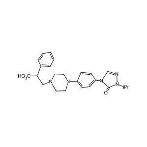 CC(C)n1ncn(-c2ccc(N3CCN(CC(C(=O)O)c4ccccc4)CC3)cc2)c1=O